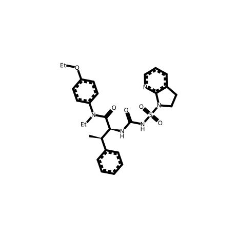 CCOc1ccc(N(CC)C(=O)[C@@H](NC(=O)NS(=O)(=O)N2CCc3cccnc32)[C@H](C)c2ccccc2)cc1